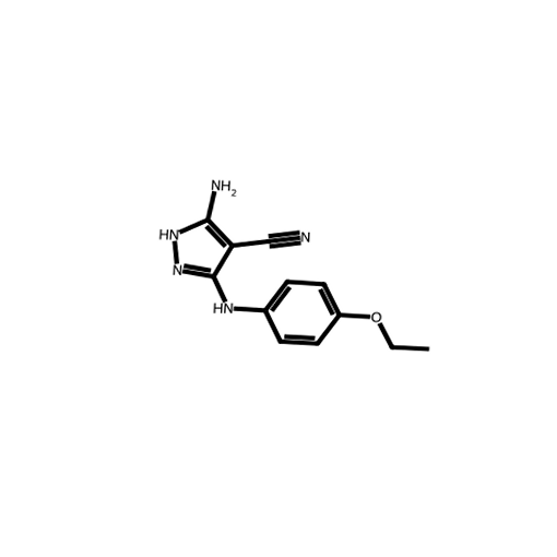 CCOc1ccc(Nc2n[nH]c(N)c2C#N)cc1